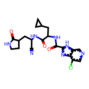 N#CC(CC1CCNC1=O)NC(=O)C(CC1CC1)NC(=O)c1nc2c(Cl)cncc2[nH]1